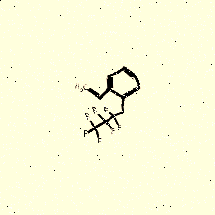 C=Cc1ccccc1CC(F)(F)C(F)(F)C(F)(F)F